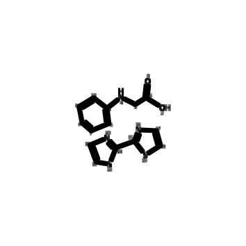 O=C(O)CNc1ccccc1.c1csc(-c2nccs2)n1